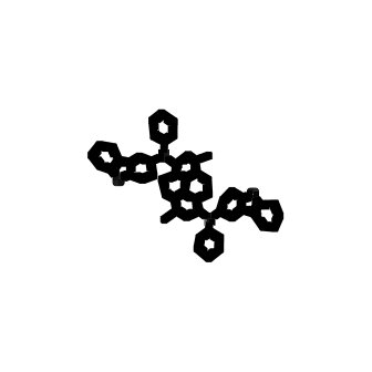 Cc1cc(N(c2ccccc2)c2ccc3oc4ccccc4c3c2)c2ccc3c(C)cc(N(c4ccccc4)c4ccc5oc6ccccc6c5c4)c4ccc1c2c34